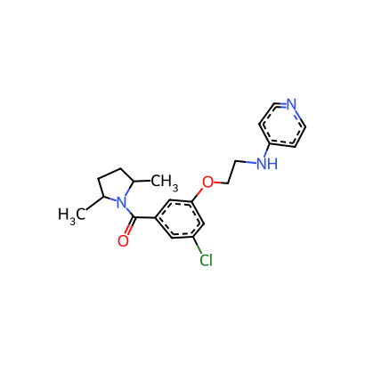 CC1CCC(C)N1C(=O)c1cc(Cl)cc(OCCNc2ccncc2)c1